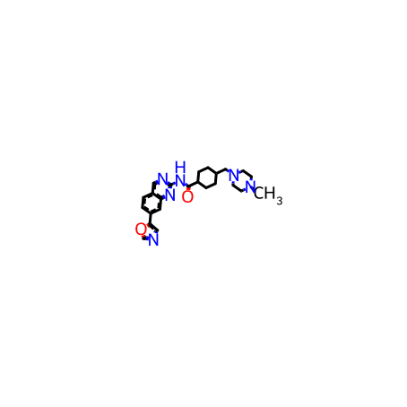 CN1CCN(CC2CCC(C(=O)Nc3ncc4ccc(-c5cnco5)cc4n3)CC2)CC1